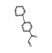 O=CC(=O)c1ccc(-c2ccccc2)cc1